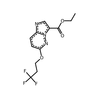 CCOC(=O)c1cnc2ccc(OCCC(F)(F)F)nn12